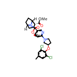 COC(=O)[C@@H]1[C@@H](c2ccc(N3CC[C@@H](Oc4c(Cl)cc(C)cc4Cl)C3)nc2)C[C@@H]2CC[C@H]1N2C(=O)OC(C)(C)C